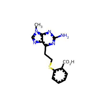 Cn1cnc2c(CCSc3ccccc3C(=O)O)nc(N)nc21